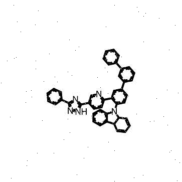 C1=CC2c3ccccc3N(c3ccc(-c4cccc(-c5ccccc5)c4)cc3-c3ccc(-c4nc(-c5ccccc5)n[nH]4)cn3)C2C=C1